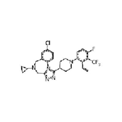 C=Cc1c(N2CCC(c3nnc4n3-c3ccc(Cl)cc3CN(C3CC3)C4)CC2)ccc(F)c1C(F)(F)F